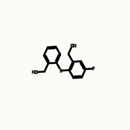 OCc1ccccc1Sc1ccc(F)cc1CO